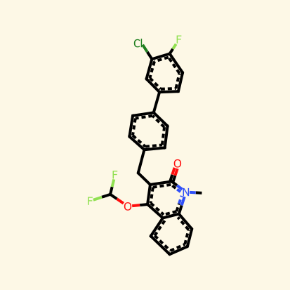 Cn1c(=O)c(Cc2ccc(-c3ccc(F)c(Cl)c3)cc2)c(OC(F)F)c2ccccc21